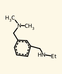 CCNCc1cccc(CN(C)C)c1